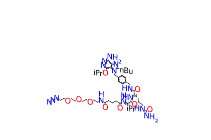 CCCCc1nc2c(N)nnc(OC(C)C)c2n1Cc1ccc(CNC(=O)[C@H](CCCNC(N)=O)NC(=O)[C@@H](NC(=O)CCCC(=O)NCCOCCOCCOCCN=[N+]=[N-])C(C)C)cc1